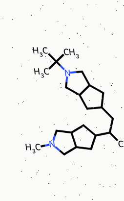 CC(CC1CC2CN(C(C)(C)C)CC2C1)C1CC2CN(C)CC2C1